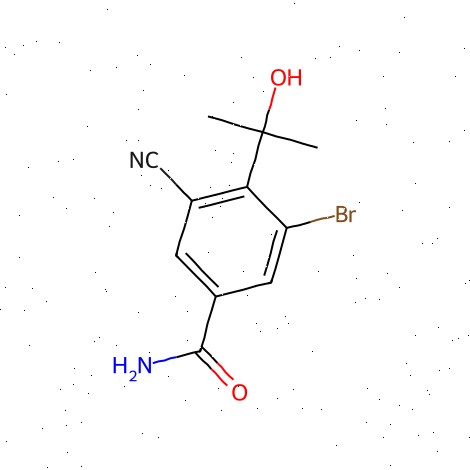 CC(C)(O)c1c(Br)cc(C(N)=O)cc1C#N